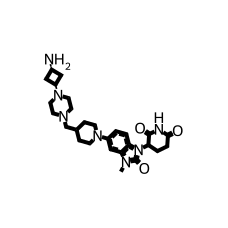 Cn1c(=O)n(C2CCC(=O)NC2=O)c2ccc(N3CCC(CN4CCN([C@H]5C[C@@H](N)C5)CC4)CC3)cc21